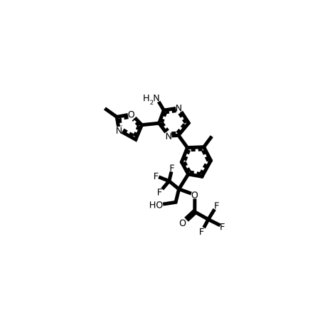 Cc1ncc(-c2nc(-c3cc(C(CO)(OC(=O)C(F)(F)F)C(F)(F)F)ccc3C)cnc2N)o1